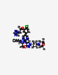 COCC[C@H](C)Oc1nn([C@H]2CC[C@H](N3C[C@@H](C)O[C@@H](C)C3)CC2)cc1Nc1ncc(-c2ccc(Cl)c(O[C@@H](C)Cn3cncn3)c2)cn1